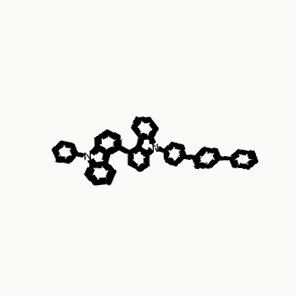 c1ccc(-c2ccc(-c3ccc(-n4c5ccccc5c5c(-c6cccc7c6c6ccccc6n7-c6ccccc6)cccc54)cc3)cc2)cc1